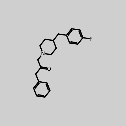 O=C(Cc1ccccc1)CN1CCC(Cc2ccc(F)cc2)CC1